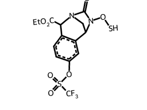 CCOC(=O)C1c2ccc(OS(=O)(=O)C(F)(F)F)cc2C2CN1C(=O)N2OS